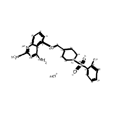 Cl.Nc1nc(N)c2c(OCC3CCN(S(=O)(=O)c4ccccc4F)CC3)cccc2n1